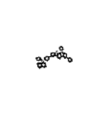 c1ccc(-c2ccc3c(c2)c2ccc4c5cc(-c6ccc(N(c7ccccc7)c7cccc8ccccc78)cc6)ccc5sc4c2n3-c2ccccc2)cc1